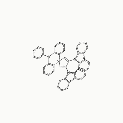 C1=C(n2c3ccccc3c3ccccc32)C(n2c3ccccc3c3ccccc32)=C[Si]12c1ccccc1B(c1ccccc1)c1ccccc12